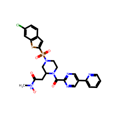 C[NH+]([O-])C(=O)CC1CN(S(=O)(=O)c2cc3ccc(Cl)cc3s2)CCN1C(=O)c1ncc(-c2ccccn2)cn1